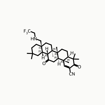 CC1(C)CC[C@]2(CNCC(F)(F)F)CC[C@]3(C)[C@H](C(=O)C[C@@H]4[C@@]5(C)C=C(C#N)C(=O)C(C)(C)[C@@H]5CC[C@]43C)[C@@H]2C1